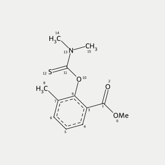 COC(=O)c1cccc(C)c1OC(=S)N(C)C